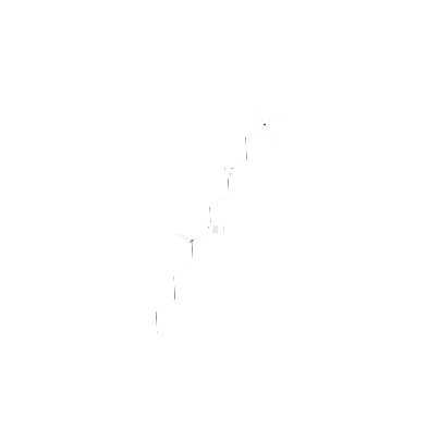 CCCCOC(=O)NCCNCCC(C)(C)C